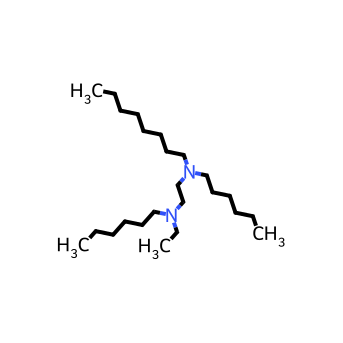 CCCCCCCCN(CCCCCC)CCN(CC)CCCCCC